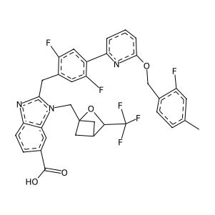 Cc1ccc(COc2cccc(-c3cc(F)c(Cc4nc5ccc(C(=O)O)cc5n4CC45CC(C4)C(C(F)(F)F)O5)cc3F)n2)c(F)c1